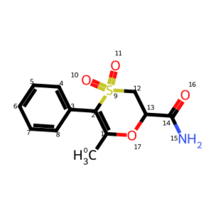 CC1=C(c2ccccc2)S(=O)(=O)CC(C(N)=O)O1